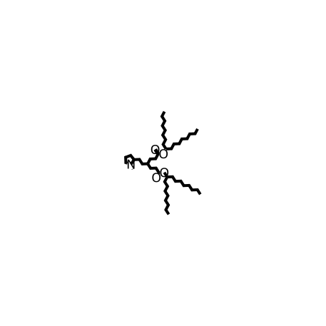 CCCCCCCCC(CCCCCCCC)OC(=O)CCC(CCC(=O)OC(CCCCCCCC)CCCCCCCC)CCC1CCCN1C